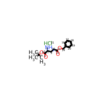 CC(C)(C)OC(=O)[C@@H](N)CCC(=O)OCc1ccccc1.Cl